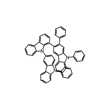 c1ccc(-c2cc3c(cc2-c2cccc4c5ccccc5n(-c5ccc6c(c5)c5ccccc5n6-c5ccccc5)c24)c2ccccc2n3-c2ccccc2)cc1